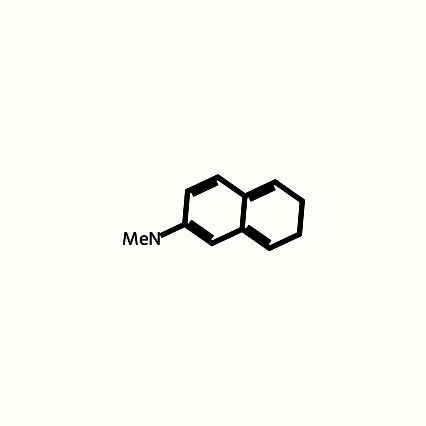 CNc1ccc2c(c1)=CCCC=2